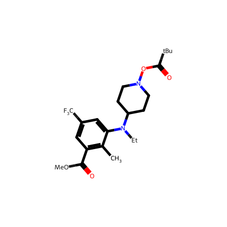 CCN(c1cc(C(F)(F)F)cc(C(=O)OC)c1C)C1CCN(OC(=O)C(C)(C)C)CC1